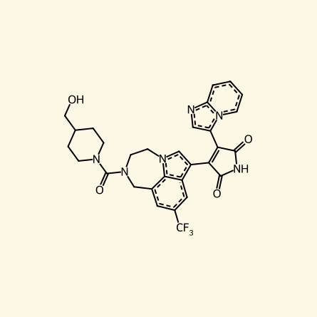 O=C1NC(=O)C(c2cnc3ccccn23)=C1c1cn2c3c(cc(C(F)(F)F)cc13)CN(C(=O)N1CCC(CO)CC1)CC2